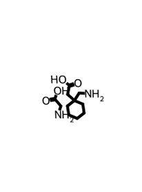 NCC(=O)O.NCC1(CC(=O)O)CCCCC1